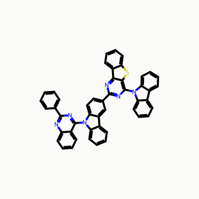 c1ccc(-c2nc(-n3c4ccccc4c4cc(-c5nc(-n6c7ccccc7c7ccccc76)c6sc7ccccc7c6n5)ccc43)c3ccccc3n2)cc1